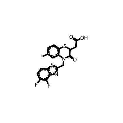 O=C(O)CC1Sc2ccc(F)cc2N(Cc2nc3c(F)c(F)ccc3s2)C1=O